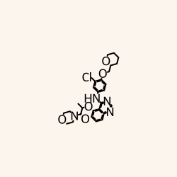 CC(Oc1cccc2ncnc(Nc3ccc(OCC4CCCCO4)c(Cl)c3)c12)C(=O)N1CCOCC1